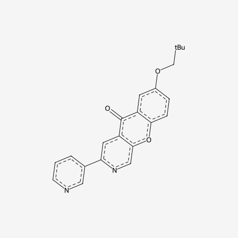 CC(C)(C)COc1ccc2oc3cnc(-c4cccnc4)cc3c(=O)c2c1